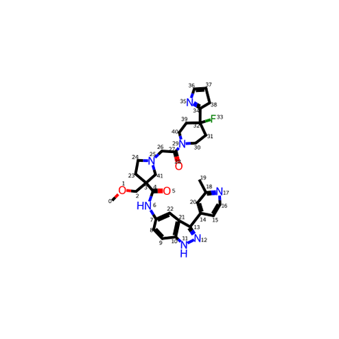 COCC1(C(=O)Nc2ccc3[nH]nc(-c4ccnc(C)c4)c3c2)CCN(CC(=O)N2CCC(F)(C3=NC=CC3)CC2)C1